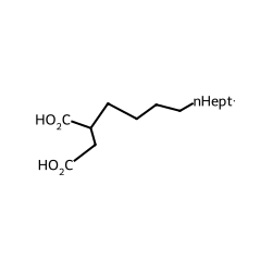 CCCCCC[CH]CCCCC(CC(=O)O)C(=O)O